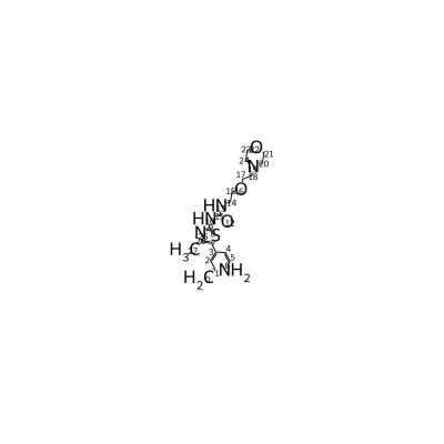 C=C/C=C(\C=C/N)c1sc(NC(=O)NCCOCCN2CCOCC2)nc1C